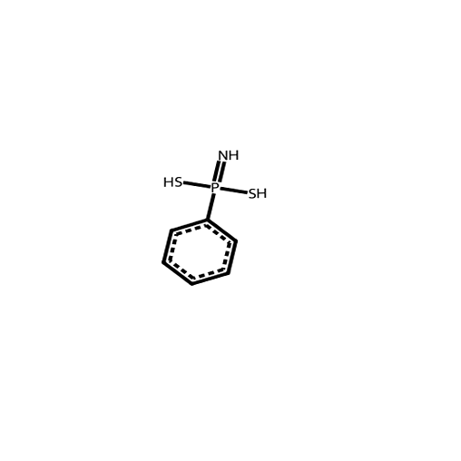 N=P(S)(S)c1ccccc1